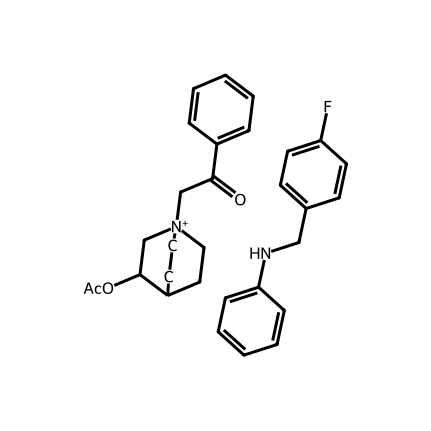 CC(=O)OC1C[N+]2(CC(=O)c3ccccc3)CCC1CC2.Fc1ccc(CNc2ccccc2)cc1